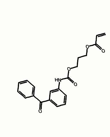 C=CC(=O)OCCCOC(=O)Nc1cccc(C(=O)c2ccccc2)c1